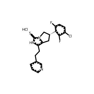 Cl.Fc1ccc(Cl)c(F)c1[C@@H]1Cc2c(CCc3cccnc3)[nH]c(=S)n2C1